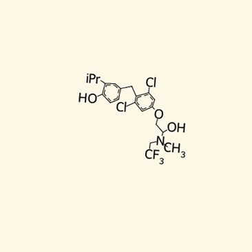 CC(C)c1cc(Cc2c(Cl)cc(OCC(O)N(C)CC(F)(F)F)cc2Cl)ccc1O